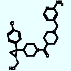 Nc1cc(CN2CCC(C(=O)N3CCC([C@]4(c5ccc(Cl)cc5)C[C@H]4CO)CC3)CC2)ccn1